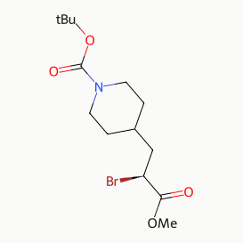 COC(=O)[C@@H](Br)CC1CCN(C(=O)OC(C)(C)C)CC1